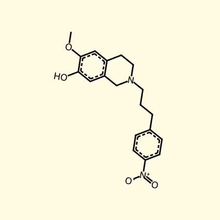 COc1cc2c(cc1O)CN(CCCc1ccc([N+](=O)[O-])cc1)CC2